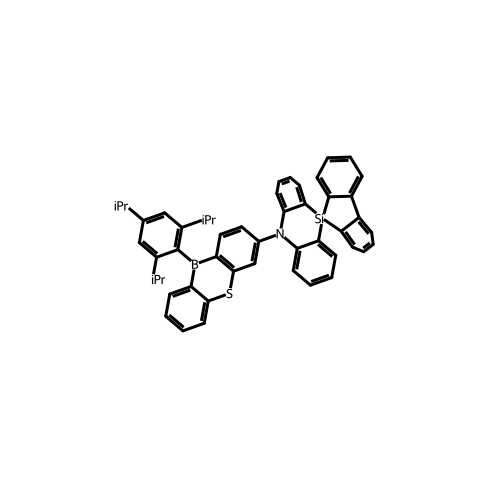 CC(C)c1cc(C(C)C)c(B2c3ccccc3Sc3cc(N4c5ccccc5[Si]5(c6ccccc6-c6ccccc65)c5ccccc54)ccc32)c(C(C)C)c1